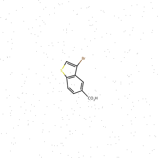 O=C(O)c1ccc2scc(Br)c2c1